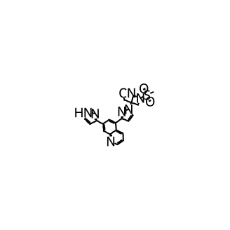 CS(=O)(=O)N1CC(CC#N)(n2ccc(-c3cc(-c4cc[nH]n4)cc4ncccc34)n2)C1